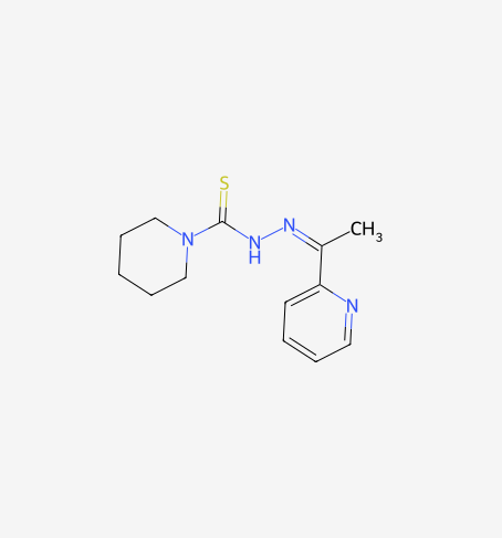 CC(=NNC(=S)N1CCCCC1)c1ccccn1